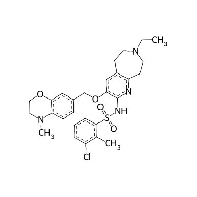 CCN1CCc2cc(OCc3ccc4c(c3)OCCN4C)c(NS(=O)(=O)c3cccc(Cl)c3C)nc2CC1